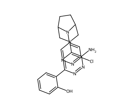 Nc1nnc(-c2ccccc2O)cc1N1CC2CCC(C1)N2c1cnnc(Cl)c1